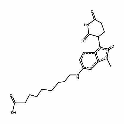 Cn1c(=O)n(C2CCC(=O)NC2=O)c2ccc(NCCCCCCCCC(=O)O)cc21